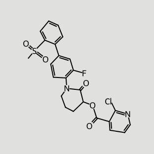 CS(=O)(=O)c1ccccc1-c1ccc(N2CCCC(OC(=O)c3cccnc3Cl)C2=O)c(F)c1